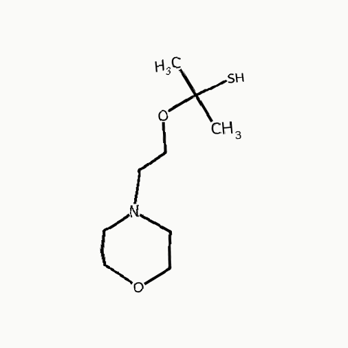 CC(C)(S)OCCN1CCOCC1